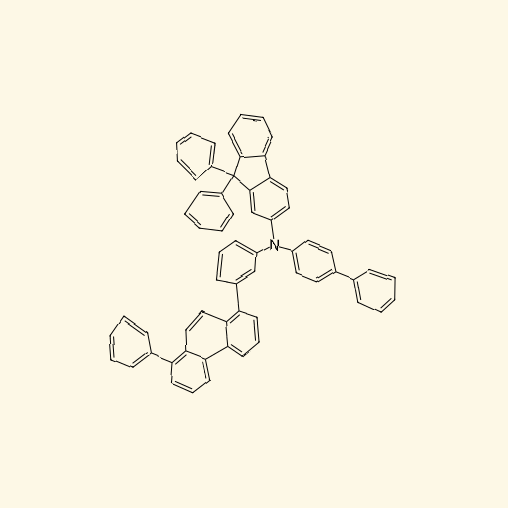 c1ccc(-c2ccc(N(c3cccc(-c4cccc5c4ccc4c(-c6ccccc6)cccc45)c3)c3ccc4c(c3)C(c3ccccc3)(c3ccccc3)c3ccccc3-4)cc2)cc1